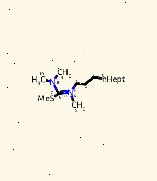 CCCCCCCCCC/[N+](C)=C(/SC)N(C)C